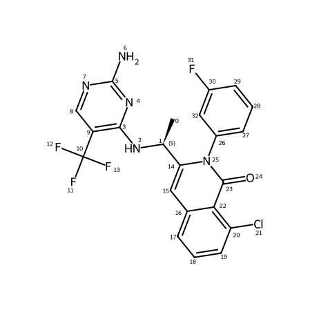 C[C@H](Nc1nc(N)ncc1C(F)(F)F)c1cc2cccc(Cl)c2c(=O)n1-c1cccc(F)c1